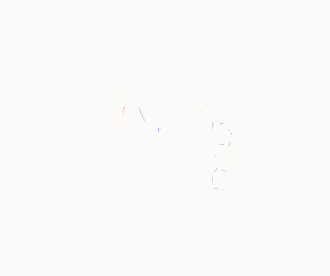 CCOC(=O)/C=C/CNCCCCN1c2ccccc2COc2ccc(Cl)cc21